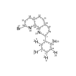 [2H]c1c([2H])c([2H])c(-c2ccc3ccc4ccc(Br)nc4c3n2)c([2H])c1[2H]